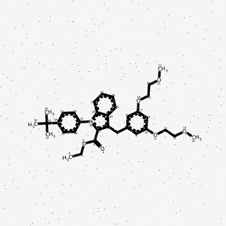 CCOC(=O)c1c(Cc2cc(OCCOC)cc(OCCOC)c2)c2ccccc2n1-c1ccc(C(C)(C)C)cc1